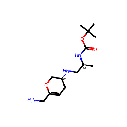 C[C@@H](CN[C@@H]1CC=C(CN)OC1)NC(=O)OC(C)(C)C